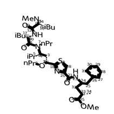 CCCO[C@H](C[C@H](C(C)C)N(CCC)C(=O)[C@@H](NC(=O)[C@@H](NC)[C@@H](C)CC)[C@@H](C)CC)c1nc(C(=O)NC(Cc2ccccc2)C[C@H](C)C(=O)OC)cs1